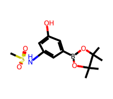 CC1(C)OB(c2cc(O)cc(NS(C)(=O)=O)c2)OC1(C)C